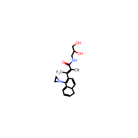 N#C/C(C(=O)NCC(O)CO)=C(\C1=C(N2CC2)C2=CC=CCC2C=C1)C(F)(F)F